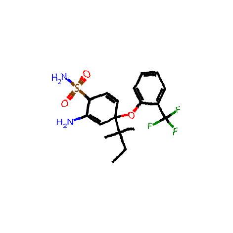 CCC(C)(C)C1(Oc2ccccc2C(F)(F)F)C=CC(S(N)(=O)=O)C(N)=C1